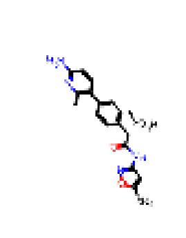 CS(=O)(=O)O.Cc1nc(N)ccc1-c1ccc(CC(=O)Nc2cc(C(C)(C)C)on2)cc1